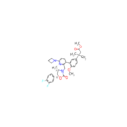 COC(=O)CC(C)(C)c1ccc(OC)c(-c2ccc(N3CCC3)nc2CN2C(=O)O[C@H](c3ccc(F)c(F)c3)[C@@H]2C)c1